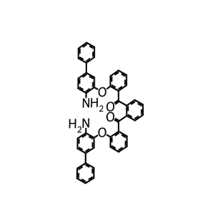 Nc1ccc(-c2ccccc2)cc1Oc1ccccc1C(=O)c1ccccc1C(=O)c1ccccc1Oc1cc(-c2ccccc2)ccc1N